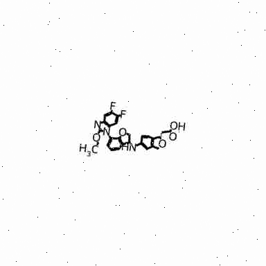 CCOc1nc2cc(F)c(F)cc2n1-c1cccc2c1OC[C@H]2Nc1ccc2c(c1)CO[C@H]2CC(=O)O